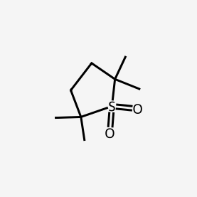 CC1(C)CCC(C)(C)S1(=O)=O